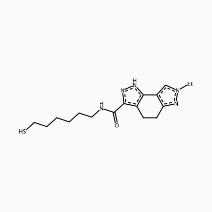 CCn1cc2c(n1)CCc1c(C(=O)NCCCCCCS)n[nH]c1-2